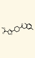 COC(=O)C1COC(C2CCN(C(=O)Cc3cc(C)ccc3C)CC2)=N1